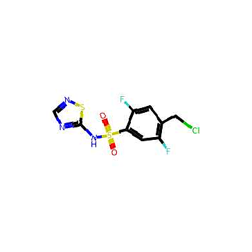 O=S(=O)(Nc1ncns1)c1cc(F)c(CCl)cc1F